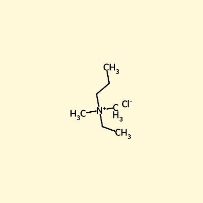 CCC[N+](C)(C)CC.[Cl-]